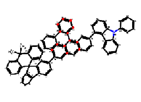 CC1(C)c2ccccc2C2(C3=C(CCC=C3)c3ccc(-c4ccc(N(c5cccc(-c6cccc7c6c6ccccc6n7-c6ccccc6)c5)c5ccccc5-c5ccccc5-c5ccccc5-c5ccccc5)cc4)cc32)c2ccccc21